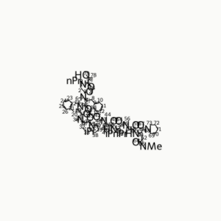 CCCN(CC(=O)N(C)[C@@H](Cc1ccccc1)C(=O)N(C)[C@@H](Cc1ccccc1)C(=O)N(C)[C@@H](CC(C)C)C(=O)N1CCC[C@H]1C(=O)N(C)[C@@H](CC(C)C)C(=O)N[C@@H](C)C(=O)N(C)[C@H](C(=O)N[C@@H](CC(=O)NC)C(=O)N1CCCCC1)C(C)C)C(=O)[C@@H](C)O